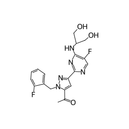 CC(=O)c1cc(-c2ncc(F)c(NC(CO)CO)n2)nn1Cc1ccccc1F